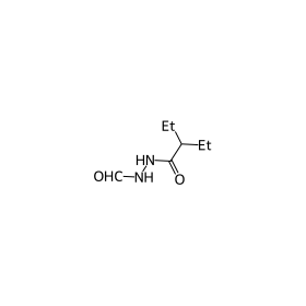 CCC(CC)C(=O)NNC=O